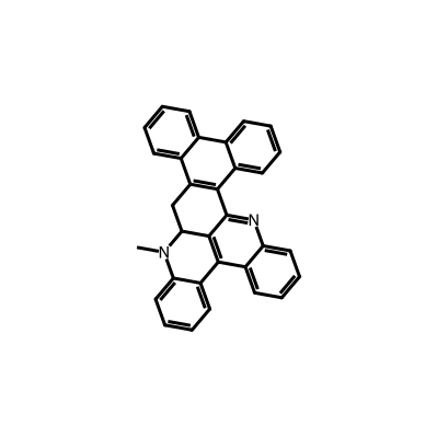 CN1c2ccccc2-c2c3c(nc4ccccc24)-c2c(c4ccccc4c4ccccc24)CC31